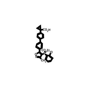 CCOC(=O)N(c1ccccc1Cl)c1c(C)noc1-c1ccc(-c2ccc(C3(C(=O)O)CC3)cc2)cc1